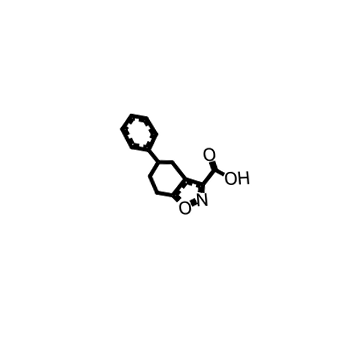 O=C(O)c1noc2c1CC(c1ccccc1)CC2